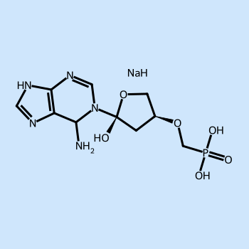 NC1c2nc[nH]c2N=CN1[C@@]1(O)C[C@H](OCP(=O)(O)O)CO1.[NaH]